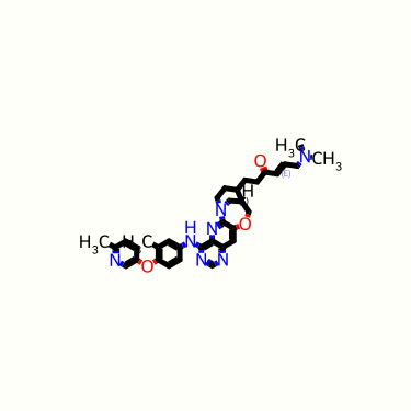 Cc1ccc(Oc2ccc(Nc3ncnc4cc5c(nc34)N3CCC(CCC(=O)/C=C/CN(C)C)[C@H](CO5)C3)cc2C)cn1